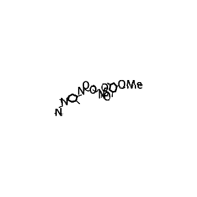 COc1cc(C)c(S(=O)(=O)N(C)CCOCC(=O)N(C)Cc2ccc(N(C)CCN(C)C)cc2C)c(C)c1